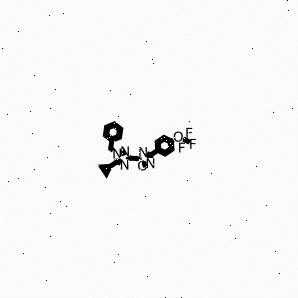 FC(F)(F)Oc1ccc(-c2noc(-c3nc(C4CC4)n(Cc4ccccc4)n3)n2)cc1